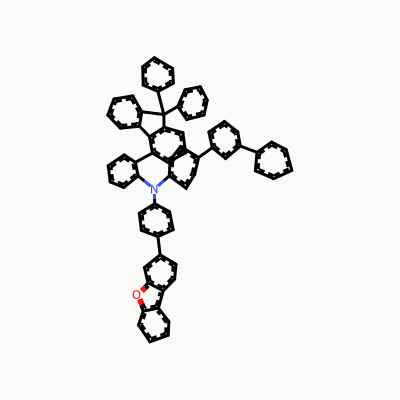 c1ccc(-c2cccc(-c3ccc(N(c4ccc(-c5ccc6c(c5)oc5ccccc56)cc4)c4ccccc4-c4cccc5c4-c4ccccc4C5(c4ccccc4)c4ccccc4)cc3)c2)cc1